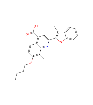 CCCCOc1ccc2c(C(=O)O)cc(-c3oc4ccccc4c3C)nc2c1C